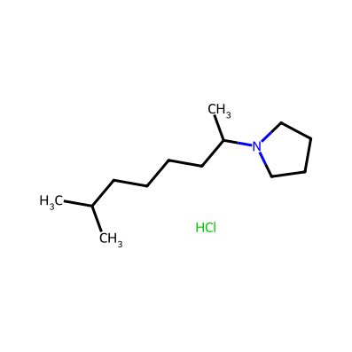 CC(C)CCCCC(C)N1CCCC1.Cl